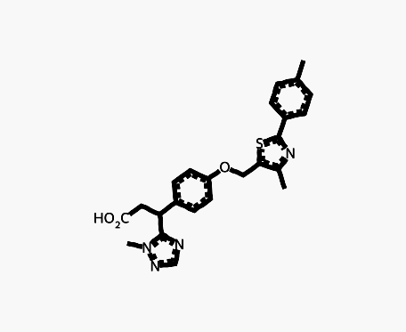 Cc1ccc(-c2nc(C)c(COc3ccc(C(CC(=O)O)c4ncnn4C)cc3)s2)cc1